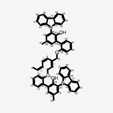 C\C=C/C=C\C(=C/COc1ccccc1-c1cc(C)cc(-n2c3ccccc3c3ccccc32)c1O)COc1ccccc1-c1cc(C)cc(-n2c3ccccc3c3ccccc32)c1O